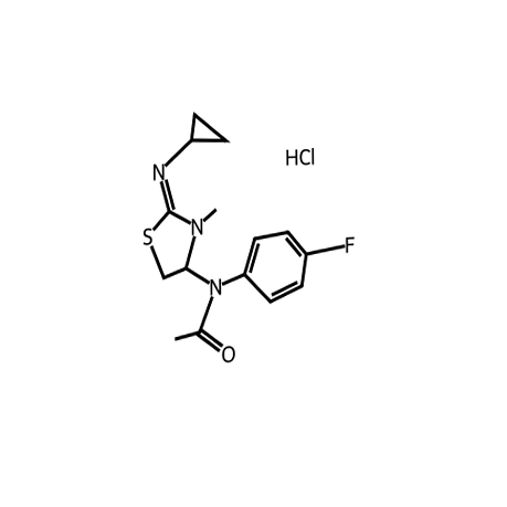 CC(=O)N(c1ccc(F)cc1)C1CSC(=NC2CC2)N1C.Cl